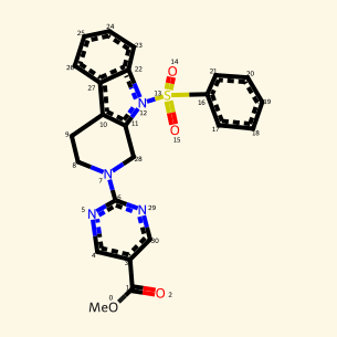 COC(=O)c1cnc(N2CCc3c(n(S(=O)(=O)c4ccccc4)c4ccccc34)C2)nc1